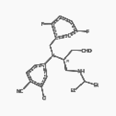 CCC(CC)NC[C@H](CC=O)N(Cc1cc(F)ccc1F)c1ccc(C#N)c(Cl)c1